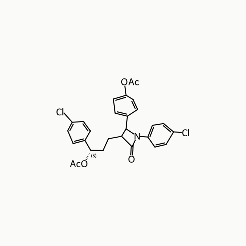 CC(=O)Oc1ccc(C2C(CC[C@H](OC(C)=O)c3ccc(Cl)cc3)C(=O)N2c2ccc(Cl)cc2)cc1